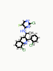 CC(Nc1nc(Cl)ncc1F)c1cc2cccc(Cl)c2nc1-c1ccccc1Cl